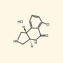 Cl.O=C1N[C@H]2CNC[C@@H]2c2cccc(Cl)c21